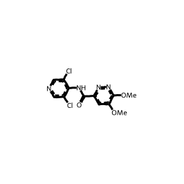 COc1cc(C(=O)Nc2c(Cl)cncc2Cl)nnc1OC